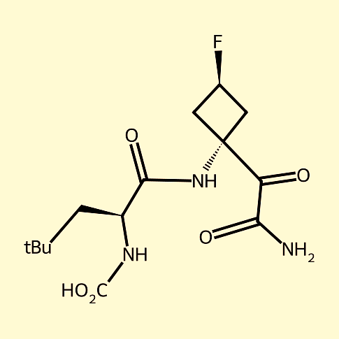 CC(C)(C)C[C@H](NC(=O)O)C(=O)N[C@]1(C(=O)C(N)=O)C[C@@H](F)C1